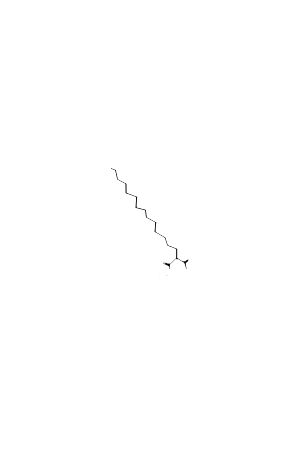 CCCCCCCCCCCCCCC(C(=O)O)C(=O)OC